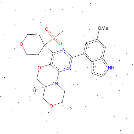 COc1cc(-c2nc3c(c(C4(S(C)(=O)=O)CCOCC4)n2)OC[C@@H]2COCCN32)c2cc[nH]c2c1